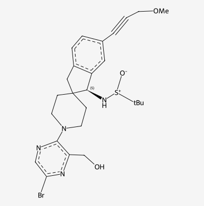 COCC#Cc1ccc2c(c1)[C@@H](N[S+]([O-])C(C)(C)C)C1(CCN(c3ncc(Br)nc3CO)CC1)C2